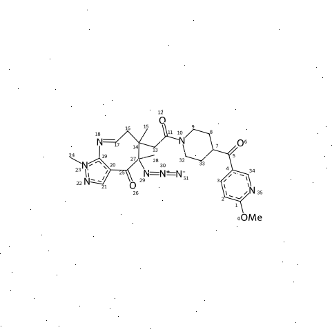 COc1ccc(C(=O)C2CCN(C(=O)CC3(C)C/C=N/c4c(cnn4C)C(=O)C3(C)N=[N+]=[N-])CC2)cn1